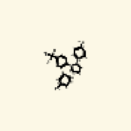 FC(F)(F)c1ccc(N2[C@@H](c3ccc(Br)cc3)CC[C@@H]2c2ccc(Br)cc2)cc1